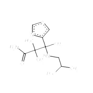 CC(C)CNC(C)(c1cscn1)C(C)(C)C(N)=O